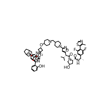 Cc1ncsc1-c1c(F)cc([C@H](C)NC(=O)[C@@H]2C[C@@H](O)CN2C(=O)[C@@H](c2cc(N3CCC(CN4CCC(O[C@H]5C[C@H](Oc6cc(N7C8CCC7CN(c7cc(-c9ccccc9O)nnc7N)C8)ccn6)C5)CC4)CC3)no2)C(C)C)cc1F